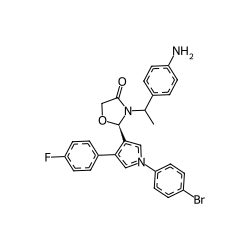 CC(c1ccc(N)cc1)N1C(=O)CO[C@@H]1c1cn(-c2ccc(Br)cc2)cc1-c1ccc(F)cc1